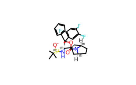 CC(C)(C)[S@+]([O-])N[C@H](Cc1cc(F)c(F)cc1F)[C@@H]1C[C@H]2CC[C@@H](C1)N2C(=O)OCc1ccccc1